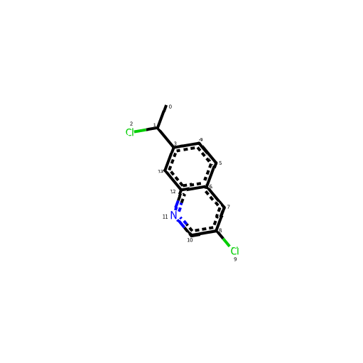 CC(Cl)c1ccc2cc(Cl)cnc2c1